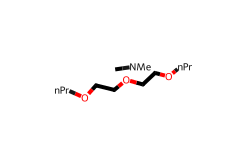 CCCOCCOCCOCCC.CNC